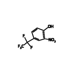 O=[N+]([O-])c1cc(C(F)(F)C(F)(F)F)ccc1O